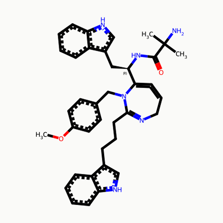 COc1ccc(CN2C([C@@H](Cc3c[nH]c4ccccc34)NC(=O)C(C)(C)N)=C=CCN=C2CCCc2c[nH]c3ccccc23)cc1